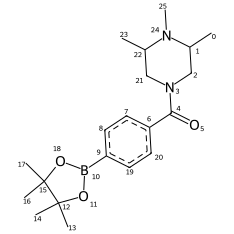 CC1CN(C(=O)c2ccc(B3OC(C)(C)C(C)(C)O3)cc2)CC(C)N1C